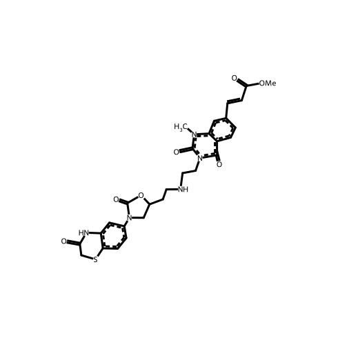 COC(=O)C=Cc1ccc2c(=O)n(CCNCCC3CN(c4ccc5c(c4)NC(=O)CS5)C(=O)O3)c(=O)n(C)c2c1